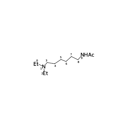 CCN(CC)CCCCCCNC(C)=O